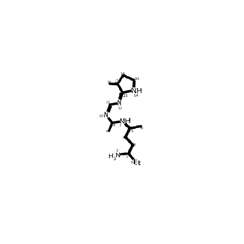 CCC(N)CCC(C)NC(C)/N=C\N=C1\NCCC1C